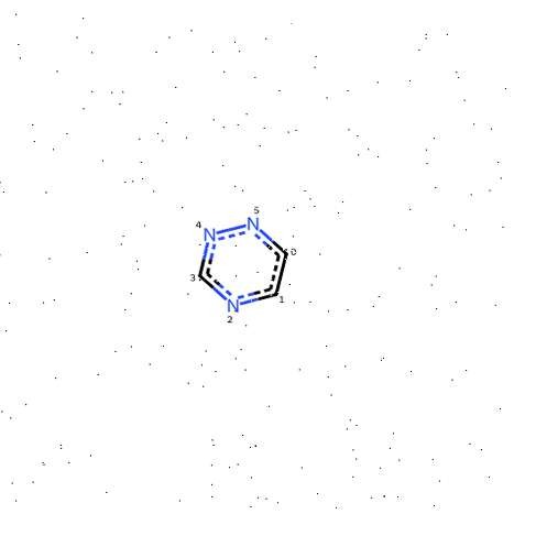 [c]1cn[c]nn1